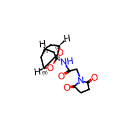 O=C(CN1C(=O)CCC1=O)N[C@]12C[C@H]3C[C@H](C[C@H](C3)O1)O2